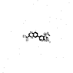 CCNc1cnc2ccc(-c3cnc(N)c(S(=O)(=O)N(C)C)c3)cc2n1